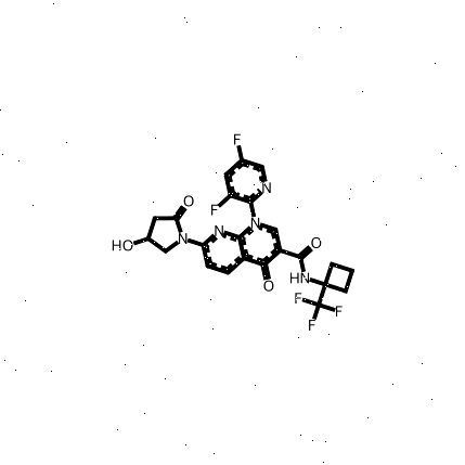 O=C(NC1(C(F)(F)F)CCC1)c1cn(-c2ncc(F)cc2F)c2nc(N3CC(O)CC3=O)ccc2c1=O